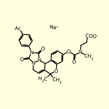 CC(=O)c1ccc(-n2c(=O)n3n(c2=O)C2C(=CC3)C(C)(C)Oc3cc(OC(=O)N(C)CCC(=O)[O-])ccc32)cc1.[Na+]